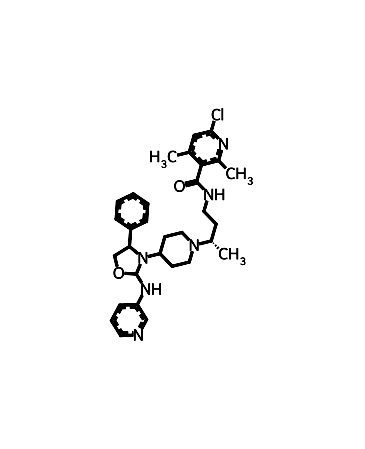 Cc1cc(Cl)nc(C)c1C(=O)NCC[C@H](C)N1CCC(N2C(Nc3cccnc3)OCC2c2ccccc2)CC1